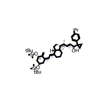 C=C1/C(=C\C=C2/CCC[C@]3(C)[C@@H]([C@H](C)/C=C/[C@H](O)C4(c5ccc(C(C)C)cc5)CC4)CC[C@@H]23)C[C@@H](O[Si](C)(C)C(C)(C)C)C[C@@H]1O[Si](C)(C)C(C)(C)C